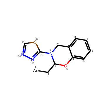 CC(=O)CC1Oc2ccccc2CN1c1nncs1